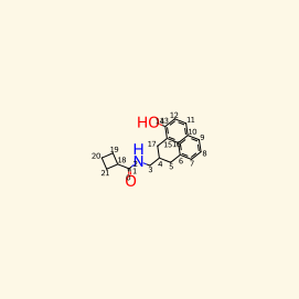 O=C(NCC1Cc2cccc3ccc(O)c(c23)C1)C1CCC1